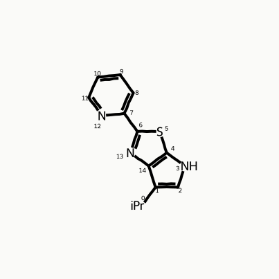 CC(C)c1c[nH]c2sc(-c3ccccn3)nc12